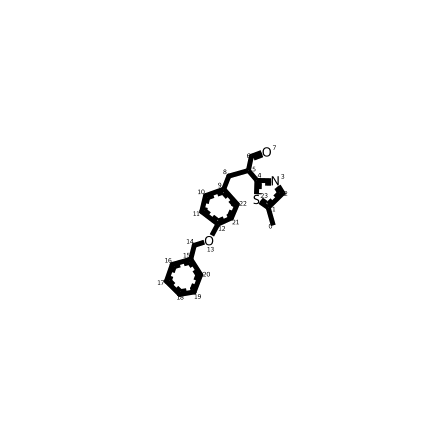 Cc1cnc(C(C=O)Cc2ccc(OCc3ccccc3)cc2)s1